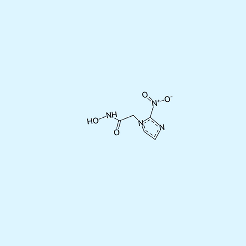 O=C(Cn1ccnc1[N+](=O)[O-])NO